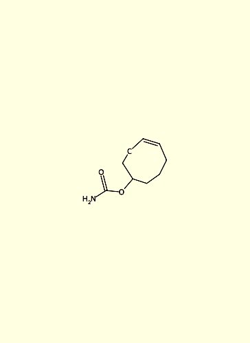 NC(=O)OC1CC/C=C\CCC1